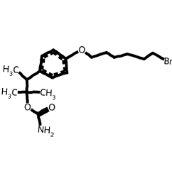 CC(c1ccc(OCCCCCCBr)cc1)C(C)(C)OC(N)=O